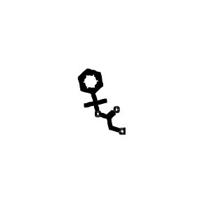 CC(C)(OC(=O)CCl)c1ccccc1